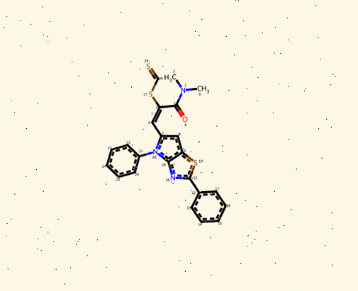 CN(C)C(=O)/C(=C\c1cc2sc(-c3ccccc3)nc2n1-c1ccccc1)SC=S